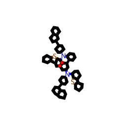 c1cc(-c2ccccc2N(c2ccc(-c3ccc4ccccc4c3)cc2)c2cccc3c2sc2ccccc23)cc(N(c2ccc(-c3cccc4ccccc34)cc2)c2cccc3c2sc2ccccc23)c1